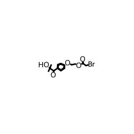 CC(C)(O)C(=O)c1ccc(OCCOC(=O)CBr)cc1